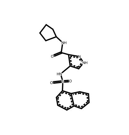 O=C(NC1CCCC1)c1n[nH]cc1NS(=O)(=O)c1cccc2ccccc12